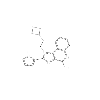 FC(F)(F)c1nc2ccccc2c2c1nc(-c1ccc[nH]1)n2CCC1CNC1